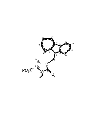 CC[C@@H](C)[C@@H](C(=O)O)N(C)C(=O)OCC1c2ccccc2-c2ccccc21